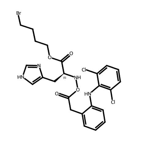 O=C(Cc1ccccc1Nc1c(Cl)cccc1Cl)ON[C@@H](Cc1c[nH]cn1)C(=O)OCCCCBr